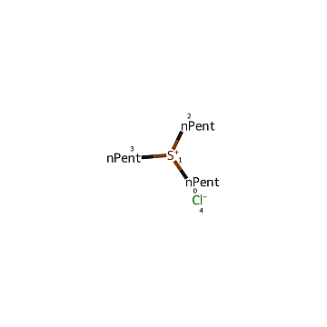 CCCCC[S+](CCCCC)CCCCC.[Cl-]